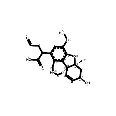 COc1cc(C(CC=O)C(=O)O)c2c3c1O[C@H]1C[C@@H](O)C=C[C@@]31CCNC2